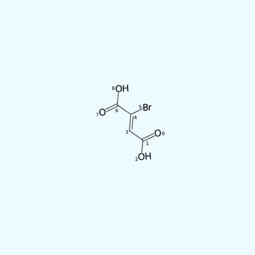 O=C(O)/C=C(\Br)C(=O)O